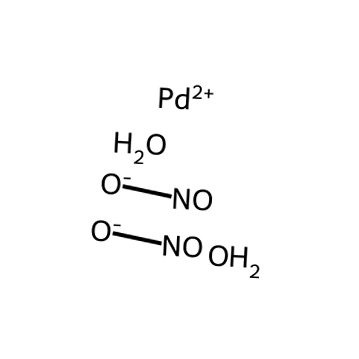 O.O.O=N[O-].O=N[O-].[Pd+2]